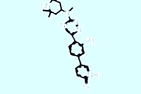 CN(c1ncc(-c2ccc(-c3ccc(=O)[nH]c3)cc2O)nn1)C1CC(C)(C)NC(C)(C)C1